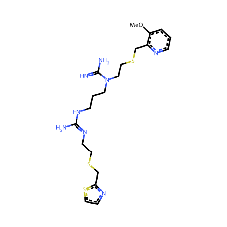 COc1cccnc1CSCCN(CCCNC(N)=NCCSCc1nccs1)C(=N)N